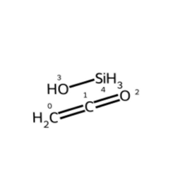 C=C=O.O[SiH3]